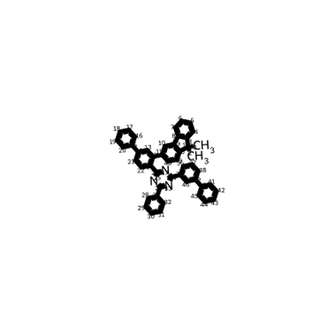 CC1(C)c2ccccc2-c2cc(-c3cc(-c4ccccc4)ccc3-c3nc(-c4ccccc4)nc(-c4cccc(-c5ccccc5)c4)n3)ccc21